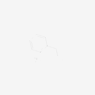 CCOC(=O)Cc1ccccc1.N